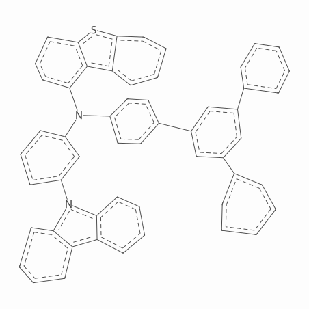 c1ccc(-c2cc(-c3ccccc3)cc(-c3ccc(N(c4cccc(-n5c6ccccc6c6ccccc65)c4)c4cccc5sc6ccccc6c45)cc3)c2)cc1